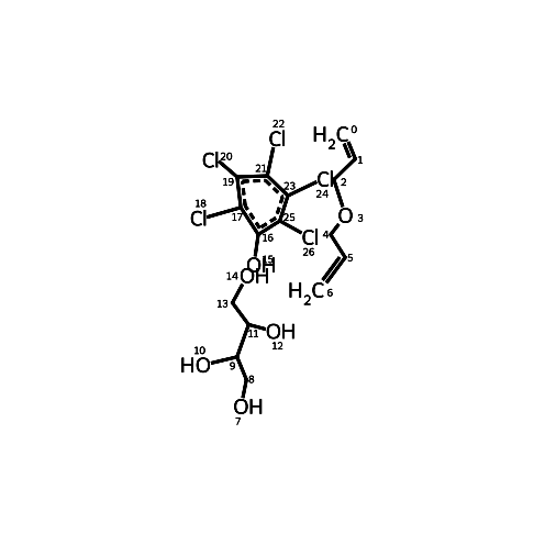 C=CCOCC=C.OCC(O)C(O)CO.Oc1c(Cl)c(Cl)c(Cl)c(Cl)c1Cl